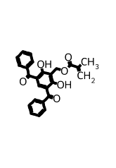 C=C(C)C(=O)OCc1c(O)c(C(=O)c2ccccc2)cc(C(=O)c2ccccc2)c1O